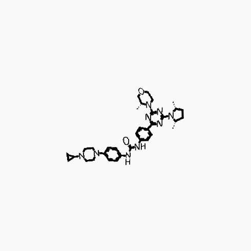 C[C@@H]1COCCN1c1nc(-c2ccc(NC(=O)Nc3ccc(N4CCN(C5CC5)CC4)cc3)cc2)nc(N2[C@H](C)CC[C@@H]2C)n1